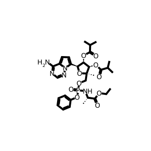 CCOC(=O)[C@H](C)NP(=O)(OC[C@@]1(C)O[C@@H](c2ccc3c(N)ncnn23)[C@H](OC(=O)C(C)C)[C@@H]1OC(=O)C(C)C)Oc1ccccc1